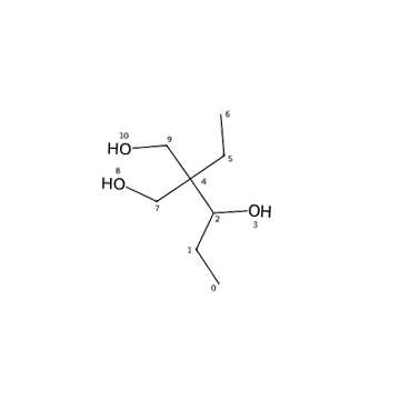 CCC(O)C(CC)(CO)CO